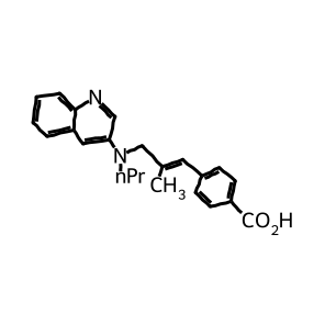 CCCN(C/C(C)=C/c1ccc(C(=O)O)cc1)c1cnc2ccccc2c1